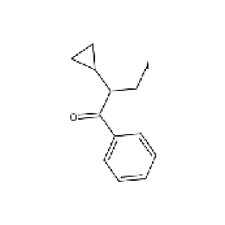 O=C(c1ccccc1)C(CI)C1CC1